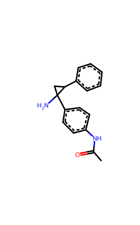 CC(=O)Nc1ccc(C2(N)CC2c2ccccc2)cc1